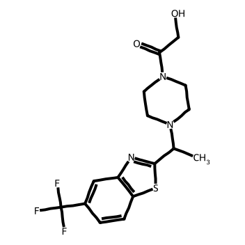 CC(c1nc2cc(C(F)(F)F)ccc2s1)N1CCN(C(=O)CO)CC1